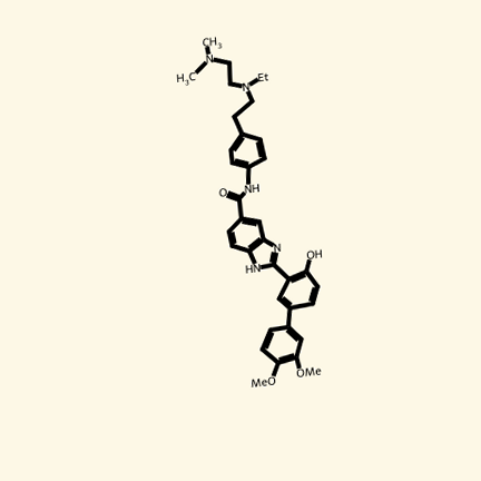 CCN(CCc1ccc(NC(=O)c2ccc3[nH]c(-c4cc(-c5ccc(OC)c(OC)c5)ccc4O)nc3c2)cc1)CCN(C)C